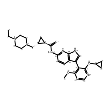 CCN1CCN(C[C@@H]2C[C@H]2C(=O)Nc2ccc3c(-c4c(OC)ncnc4OC4CC4)c[nH]c3n2)CC1